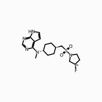 CN(c1ncnc2[nH]ccc12)[C@H]1CC[C@H](CS(=O)(=O)N2CC[C@@H](F)C2)CC1